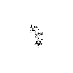 Cc1cn(COCCOC(=O)[C@@H](N)C(C)C)c(=O)[nH]c1=O.Cl.O